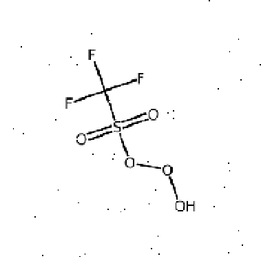 O=S(=O)(OOO)C(F)(F)F